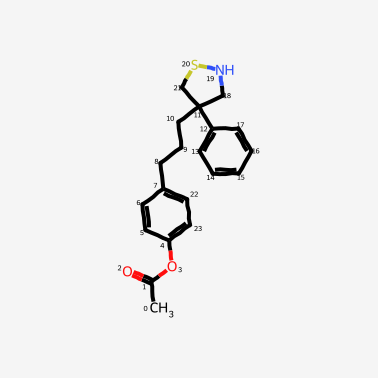 CC(=O)Oc1ccc(CCCC2(c3ccccc3)CNSC2)cc1